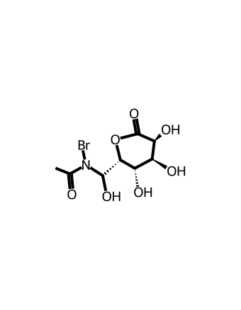 CC(=O)N(Br)C(O)[C@@H]1OC(=O)[C@@H](O)[C@@H](O)[C@@H]1O